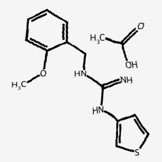 CC(=O)O.COc1ccccc1CNC(=N)Nc1ccsc1